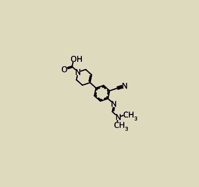 CN(C)/C=N/c1ccc(C2=CCN(C(=O)O)CC2)cc1C#N